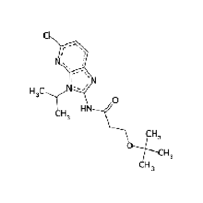 CC(C)n1c(NC(=O)CCOC(C)(C)C)nc2ccc(Cl)nc21